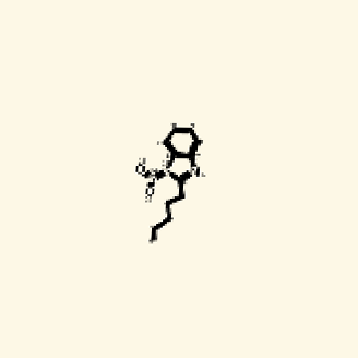 CCCCCC1=Nc2ccccc2S1=S(=O)=O